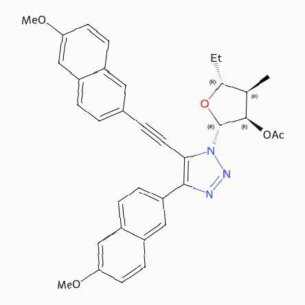 CC[C@H]1O[C@@H](n2nnc(-c3ccc4cc(OC)ccc4c3)c2C#Cc2ccc3cc(OC)ccc3c2)[C@H](OC(C)=O)[C@@H]1C